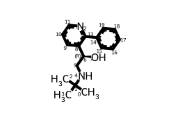 CC(C)(C)NC[C@H](O)c1cccnc1-c1ccccc1